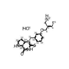 Cl.NC/C(=C\F)COc1cccc(Cn2c(=S)[nH]c(=O)c3[nH]ccc32)c1